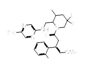 CN/C=C(\CC(=O)N1CC(F)(F)CC(C)C1CNc1cnc(C(F)(F)F)cn1)c1ccccc1F